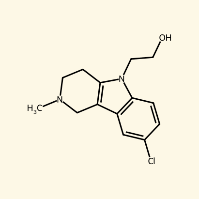 CN1CCc2c(c3cc(Cl)ccc3n2CCO)C1